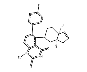 CCn1c(=O)[nH]c(=O)c2c(N3CC[C@H]4C=CC[C@H]4C3)c(-c3ccc(F)cc3)ccc21